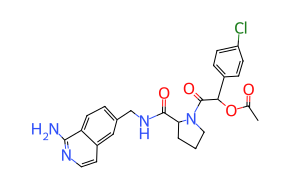 CC(=O)OC(C(=O)N1CCCC1C(=O)NCc1ccc2c(N)nccc2c1)c1ccc(Cl)cc1